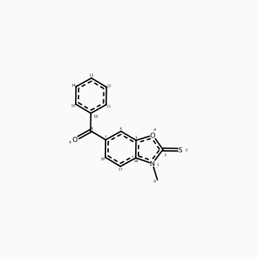 Cn1c(=S)oc2cc(C(=O)c3ccccc3)ccc21